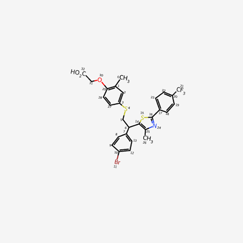 Cc1cc(SCC(c2ccc(Br)cc2)c2sc(-c3ccc(C(F)(F)F)cc3)nc2C)ccc1OCC(=O)O